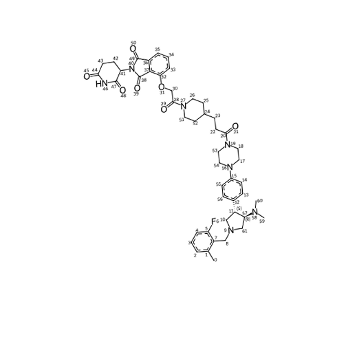 Cc1cccc(F)c1CN1C[C@H](c2ccc(N3CCN(C(=O)CCC4CCN(C(=O)COc5cccc6c5C(=O)N(C5CCC(=O)NC5=O)C6=O)CC4)CC3)cc2)[C@@H](N(C)C)C1